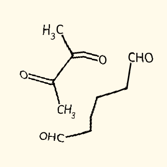 CC(=O)C(C)=O.O=CCCCC=O